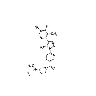 Cc1c(-c2cnn(-c3ccc(C(=O)N4CC[C@@H](N(C)C)C4)cn3)c2O)ccc(C#N)c1F